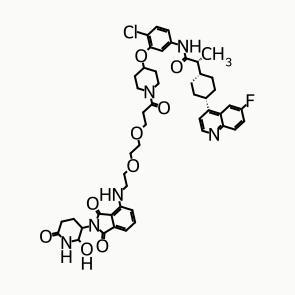 C[C@@H](C(=O)Nc1ccc(Cl)c(OC2CCN(C(=O)CCOCCOCCNc3cccc4c3C(=O)N(C3CCC(=O)NC3O)C4=O)CC2)c1)[C@H]1CC[C@@H](c2ccnc3ccc(F)cc32)CC1